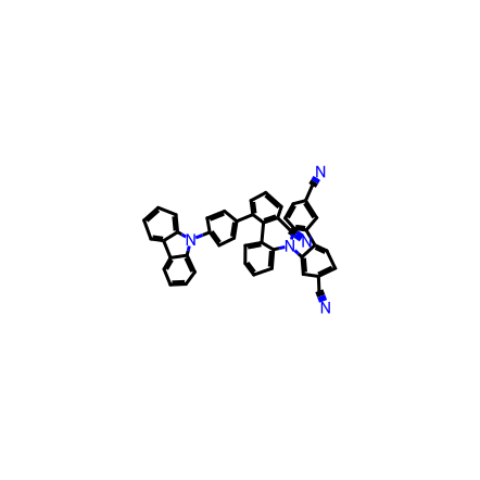 N#Cc1ccc2c(c1)c1ccc(C#N)cc1n2-c1ccccc1-c1c(C#N)cccc1-c1ccc(-n2c3ccccc3c3ccccc32)cc1